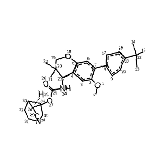 COc1cc2c(cc1-c1ccc(C(C)(C)C)cc1)OCC(C)(C)C2NC(=O)O[C@H]1CN2CCC1CC2